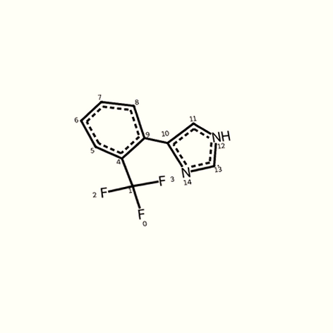 FC(F)(F)c1ccccc1-c1c[nH][c]n1